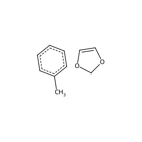 Cc1ccccc1.[CH]1OC=CO1